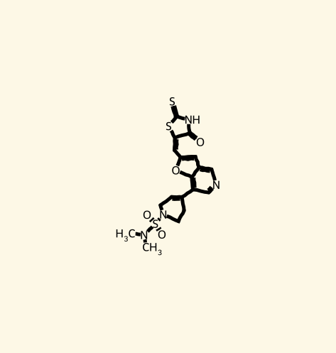 CN(C)S(=O)(=O)N1CC=C(c2cncc3cc(C=C4SC(=S)NC4=O)oc23)CC1